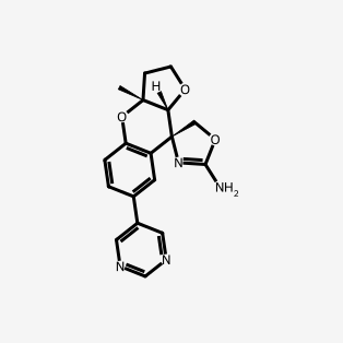 C[C@@]12CCO[C@@H]1[C@@]1(COC(N)=N1)c1cc(-c3cncnc3)ccc1O2